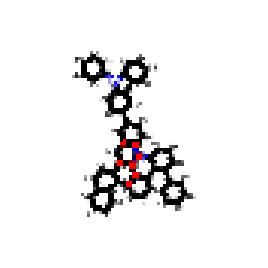 c1ccc(-c2ccccc2-c2c(-c3ccccc3)cccc2N(c2ccc(-c3ccc4c(c3)c3ccccc3n4-c3ccccc3)cc2)c2ccc3c(ccc4ccccc43)c2)cc1